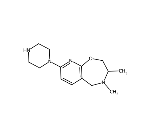 CC1COc2nc(N3CCNCC3)ccc2CN1C